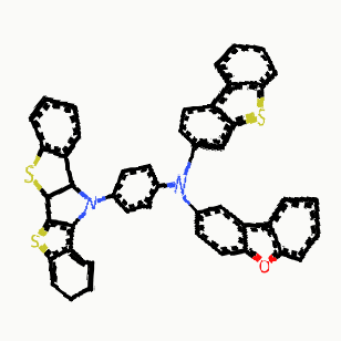 C1=c2sc3c(c2=CCC1)N(c1ccc(N(c2ccc4c(c2)sc2ccccc24)c2ccc4oc5ccccc5c4c2)cc1)C1c2ccccc2SC31